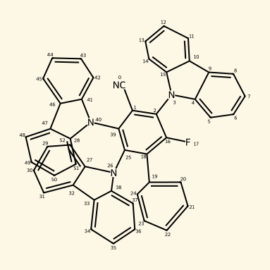 N#Cc1c(-n2c3ccccc3c3ccccc32)c(F)c(-c2ccccc2)c(-n2c3ccccc3c3ccccc32)c1-n1c2ccccc2c2ccccc21